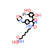 CC(C)c1cc(-c2onc(C(=O)NCCCCCCCC(=O)NO)c2C2=CC=C(CN3CCOCC3)CC2)c(O)cc1O